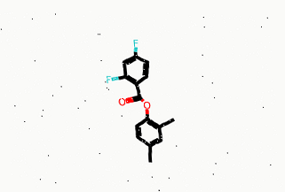 Cc1ccc(OC(=O)c2ccc(F)cc2F)c(C)c1